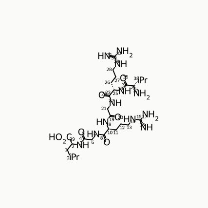 CC(C)C[C@H](NC(=O)CNC(=O)[C@H](CCCNC(=N)N)NC(=O)CNC(=O)[C@H](CCCNC(=N)N)NC(=O)[C@@H](N)C(C)C)C(=O)O